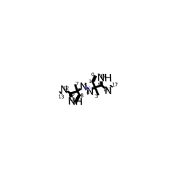 C=CC(C)(/N=N/C(C)(C=C)C(=N)N=C)C(=N)N=C